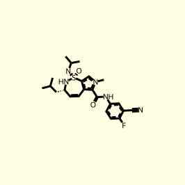 CC(C)C[C@H]1C=Cc2c(cn(C)c2C(=O)Nc2ccc(F)c(C#N)c2)S(=O)(=NC(C)C)N1